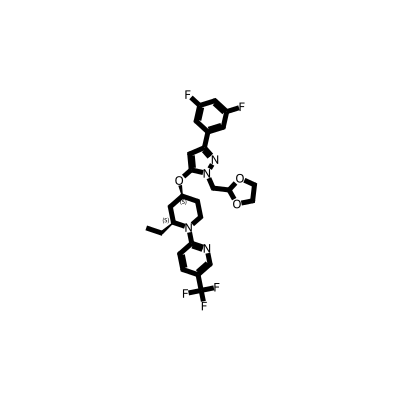 CC[C@H]1C[C@@H](Oc2cc(-c3cc(F)cc(F)c3)nn2CC2OCCO2)CCN1c1ccc(C(F)(F)F)cn1